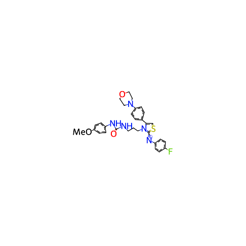 COc1ccc(NC(=O)NCCCn2c(-c3ccc(N4CCOCC4)cc3)cs/c2=N\c2ccc(F)cc2)cc1